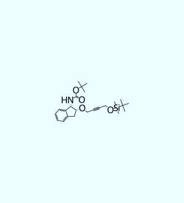 CC(C)(C)OC(=O)N[C@H]1c2ccccc2C[C@H]1OCC#CCO[Si](C)(C)C(C)(C)C